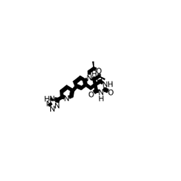 C[C@@H]1CN2c3ccc(-c4ccc(-c5nnn[nH]5)nc4)cc3CC3(C(=O)NC(=O)NC3=O)[C@H]2[C@H](C)O1